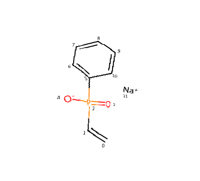 C=CP(=O)([O-])c1ccccc1.[Na+]